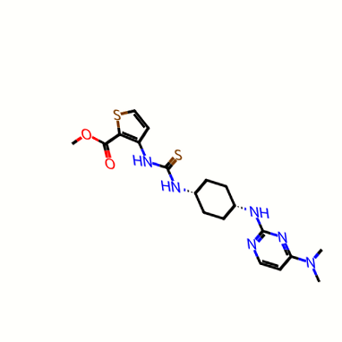 COC(=O)c1sccc1NC(=S)N[C@H]1CC[C@@H](Nc2nccc(N(C)C)n2)CC1